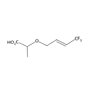 CC(OCC=CC(F)(F)F)C(=O)O